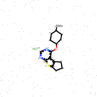 CNC1CCC(Oc2ncnc3sc4c(c23)CCC4)CC1.Cl